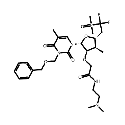 Cc1cn([C@@H]2O[C@H](CC(F)(F)P(C)(C)=O)[C@@H](C)[C@H]2OCC(=O)NCCN(C)C)c(=O)n(COCc2ccccc2)c1=O